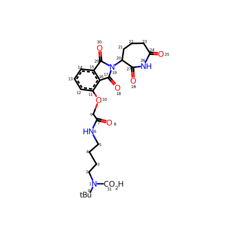 CC(C)(C)N(CCCCNC(=O)COc1cccc2c1C(=O)N(C1CCCC(=O)NC1=O)C2=O)C(=O)O